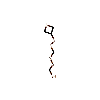 SCSSCSSC1CSC1